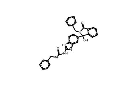 O=C(NCc1ccccc1)Nc1nc2cc(C3(O)c4ccccc4C(=O)N3Cc3ccccc3)ccc2[nH]1